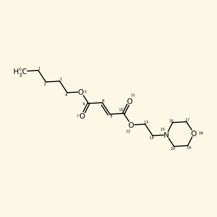 CCCCCOC(=O)C=CC(=O)OCCN1CCOCC1